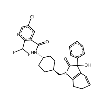 O=C(N[C@H]1CC[C@H](CN2C(=O)C(O)(c3ccccc3)C3=C2CCC=C3)CC1)c1cc(Cl)cnc1C(F)F